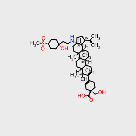 C=C(C)[C@@H]1CC[C@]2(NCC[C@]3(O)CC[C@@H](S(C)(=O)=O)CC3)CC[C@]3(C)[C@H](CC[C@@H]4[C@@]5(C)CC=C(C6=CC[C@@](CO)(C(=O)O)CC6)C(C)(C)[C@@H]5CC[C@]43C)[C@@H]12